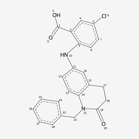 O=C(O)c1cc(Cl)ccc1Nc1ccc2c(c1)CCC(=O)N2Cc1ccccc1